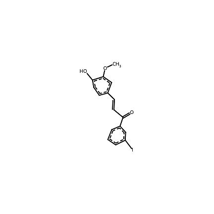 COc1cc(C=CC(=O)c2cccc(I)c2)ccc1O